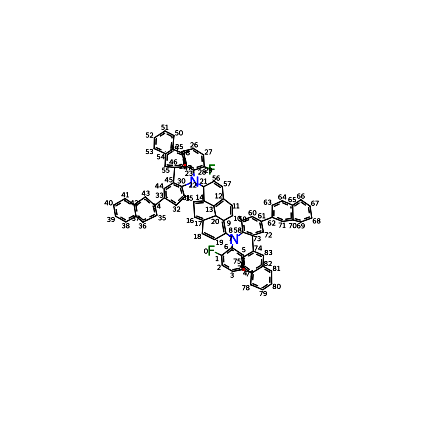 Fc1ccccc1N(C1=C2C=CC3=C4C(=CC=C(C=C1)C24)C(N(c1ccccc1F)c1ccc(-c2ccc4ccccc4c2)cc1-c1ccc2ccccc2c1)C=C3)c1ccc(-c2ccc3ccccc3c2)cc1-c1ccc2ccccc2c1